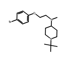 CN(CCOc1ccc(Br)cc1)C1CCN(C(C)(C)C)CC1